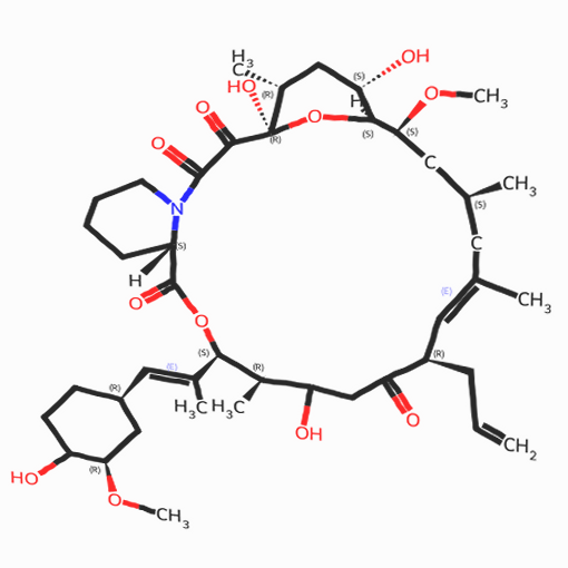 C=CC[C@@H]1/C=C(\C)C[C@H](C)C[C@H](OC)[C@H]2O[C@@](O)(C(=O)C(=O)N3CCCC[C@H]3C(=O)O[C@H](/C(C)=C/[C@@H]3CCC(O)[C@H](OC)C3)[C@H](C)C(O)CC1=O)[C@H](C)C[C@@H]2O